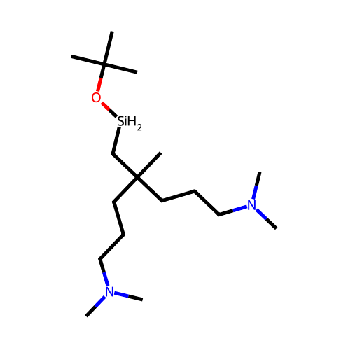 CN(C)CCCC(C)(CCCN(C)C)C[SiH2]OC(C)(C)C